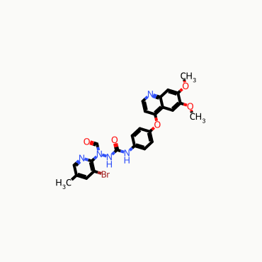 COc1cc2nccc(Oc3ccc(NC(=O)NN(C=O)c4ncc(C)cc4Br)cc3)c2cc1OC